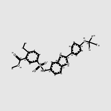 CCc1ccc(S(=O)(=O)Nc2ccc3oc(-c4ccc(OC(F)(F)F)cc4)nc3c2)cc1C(=O)OC